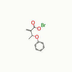 C=C(C(=O)OBr)C(C)Oc1ccccc1